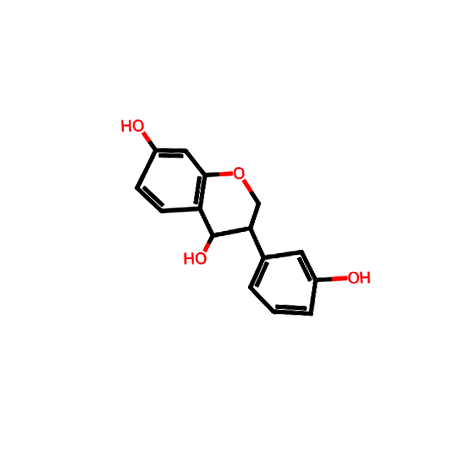 Oc1cccc(C2COc3cc(O)ccc3C2O)c1